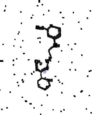 C=N/C(=N\OCCNc1ccnc(OC)c1)C1CCCCN1